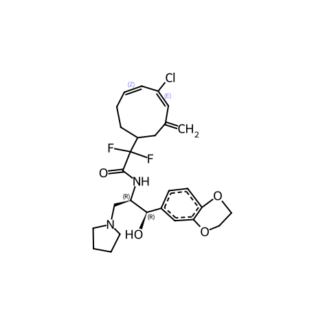 C=C1/C=C(Cl)\C=C/CCC(C(F)(F)C(=O)N[C@H](CN2CCCC2)[C@H](O)c2ccc3c(c2)OCCO3)C1